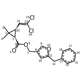 CC1(C)[C@H](C(=O)OCc2coc(Cc3ccccc3)c2)[C@@H]1C=C(Cl)Cl